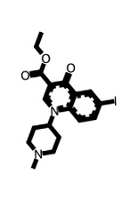 CCOC(=O)c1cn(C2CCN(C)CC2)c2ccc(I)cc2c1=O